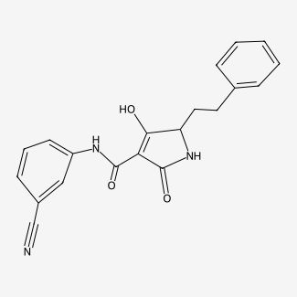 N#Cc1cccc(NC(=O)C2=C(O)C(CCc3ccccc3)NC2=O)c1